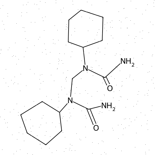 NC(=O)N(CN(C(N)=O)C1CCCCC1)C1CCCCC1